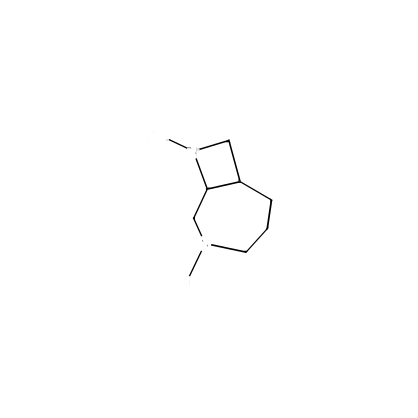 CC(C)(C)N1CCCC2CN(C(C)(C)C)C2C1